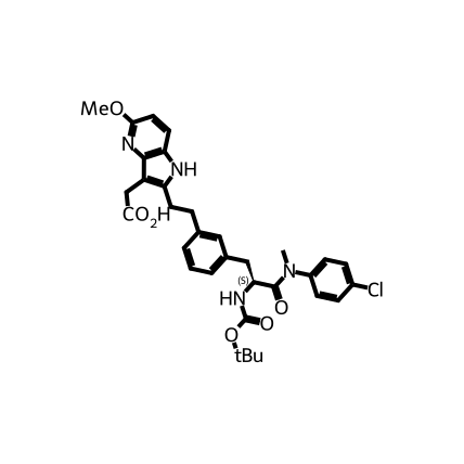 COc1ccc2[nH]c(CCc3cccc(C[C@H](NC(=O)OC(C)(C)C)C(=O)N(C)c4ccc(Cl)cc4)c3)c(CC(=O)O)c2n1